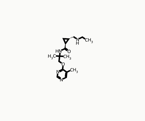 CCNC[C@H]1C[C@@H]1C(=O)NC(C)(C)COc1ncncc1C